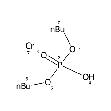 CCCCOP(=O)(O)OCCCC.[Cr]